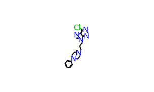 Clc1ncnc2c1ncn2CCCN1CCN(c2ccccc2)CC1